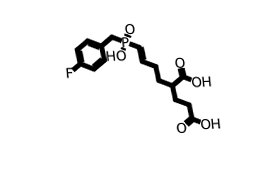 O=C(O)CCC(CCC=CP(=O)(O)Cc1ccc(F)cc1)C(=O)O